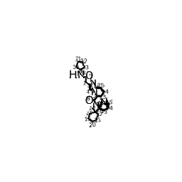 O=C(Cc1cn2c(C(=O)NCC3(c4cccnc4)CCCCC3)cccc2n1)NC1CCCC1